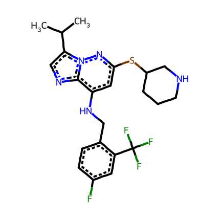 CC(C)c1cnc2c(NCc3ccc(F)cc3C(F)(F)F)cc(SC3CCCNC3)nn12